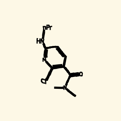 CCCNc1ccc(C(=O)N(C)C)c(Cl)n1